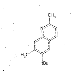 Cc1ccc2cc(C(C)(C)C)c(C)cc2n1